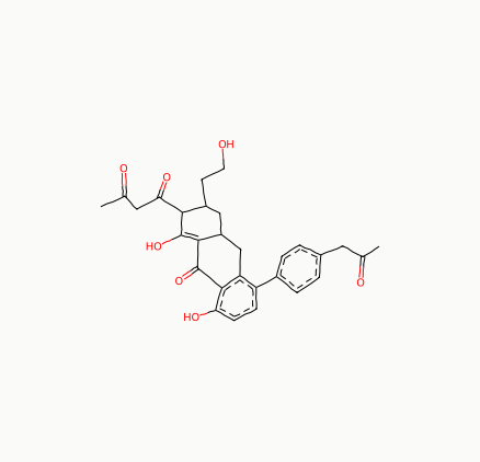 CC(=O)CC(=O)C1C(O)=C2C(=O)c3c(O)ccc(-c4ccc(CC(C)=O)cc4)c3CC2CC1CCO